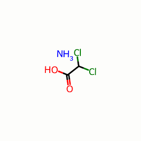 N.O=C(O)C(Cl)Cl